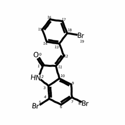 O=C1Nc2c(Br)cc(Br)cc2C1=Cc1ccccc1Br